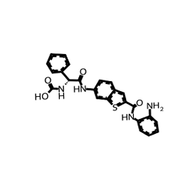 Nc1ccccc1NC(=O)c1cc2ccc(NC(=O)[C@H](NC(=O)O)c3ccccc3)cc2s1